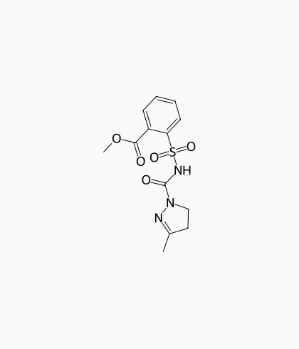 COC(=O)c1ccccc1S(=O)(=O)NC(=O)N1CCC(C)=N1